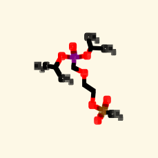 CC(C)OP(=O)(COCCOS(C)(=O)=O)OC(C)C